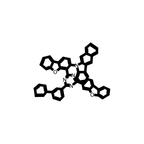 c1ccc(-c2cccc(-c3nc(-c4ccc5c(c4)oc4ccccc45)nc(-c4c(-n5c6ccccc6c6cc7ccccc7cc65)ccc5c4oc4ccccc45)n3)c2)cc1